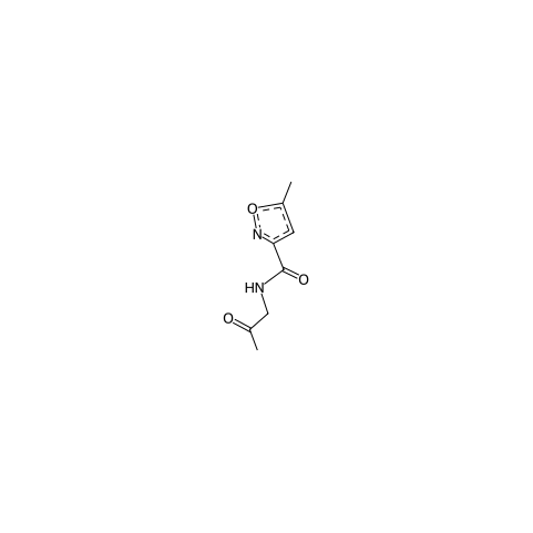 CC(=O)CNC(=O)c1cc(C)on1